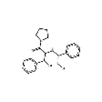 O=C(C(N[C@@H](CO)c1ccccc1)C(O)c1ccncc1)N1CCCC1